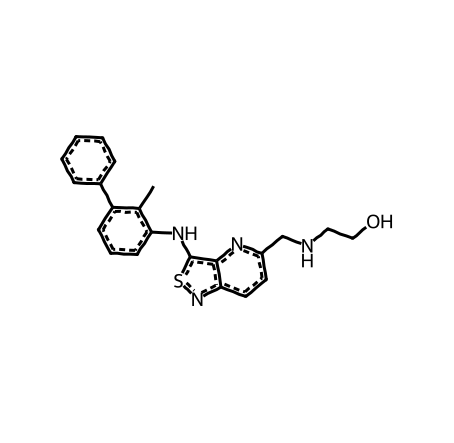 Cc1c(Nc2snc3ccc(CNCCO)nc23)cccc1-c1ccccc1